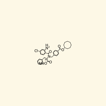 COC(=O)[C@@H](Cc1ccccc1)N(Cc1ccc(C(=O)OC2CCCCCCC2)cc1)C(=O)c1ccc(Cl)cc1N